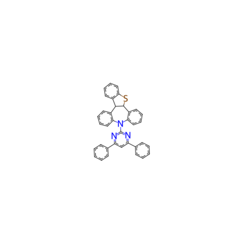 c1ccc(-c2cc(-c3ccccc3)nc(N3c4ccccc4C4Sc5ccccc5C4c4ccccc43)n2)cc1